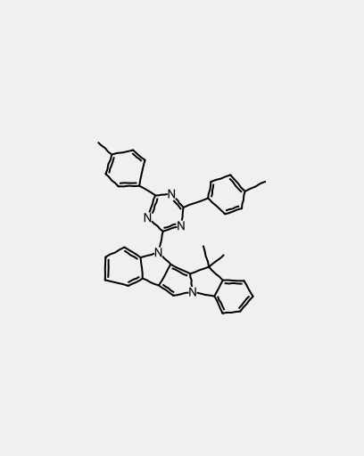 Cc1ccc(-c2nc(-c3ccc(C)cc3)nc(-n3c4ccccc4c4cn5c(c43)C(C)(C)c3ccccc3-5)n2)cc1